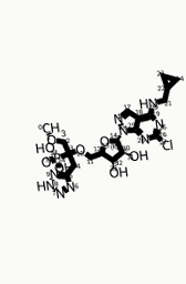 COCC(Cc1nn[nH]n1)(OCC1O[C@@H](n2ncc3c(NCC4CC4)nc(Cl)nc32)[C@H](O)[C@@H]1O)P(=O)(O)O